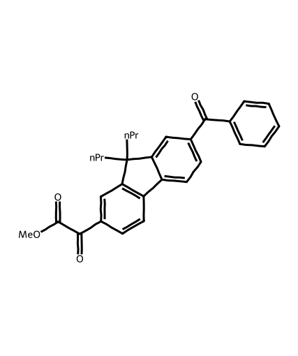 CCCC1(CCC)c2cc(C(=O)C(=O)OC)ccc2-c2ccc(C(=O)c3ccccc3)cc21